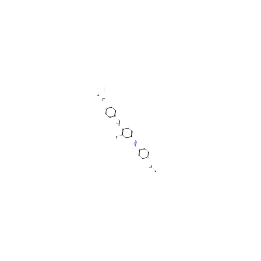 C=CC(=O)Oc1ccc(/C=C/c2ccc(/C=C/c3ccc(OC(=O)C(=C)C)cc3)c(C(F)F)c2)cc1